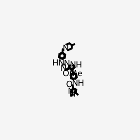 COc1nc(Nc2ccc(CN3CCC(C)CC3)cc2)nc2[nH]cc(-c3ccc(NC(=O)c4cc(C)n(C)n4)cc3)c12